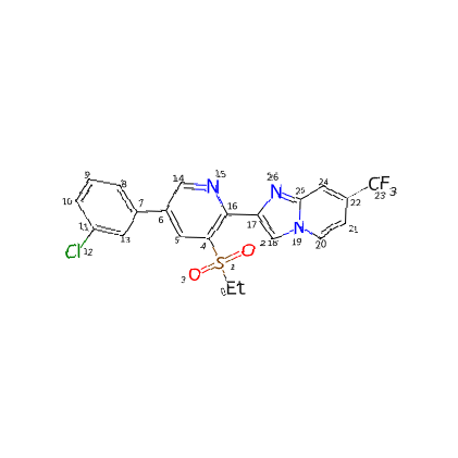 CCS(=O)(=O)c1cc(-c2cccc(Cl)c2)cnc1-c1cn2ccc(C(F)(F)F)cc2n1